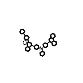 c1ccc(-c2ccc3c(c2)oc2c4ccccc4c(-c4ccc(N(c5ccccc5)c5ccc(-c6cc7ccccc7c7ccccc67)cc5)cc4)cc32)cc1